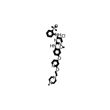 COc1cc(Oc2ccnc(OCCN3CCN(C)CC3)c2)ccc1Nc1ncc(Cl)c(Nc2ccccc2P(C)(C)=O)n1